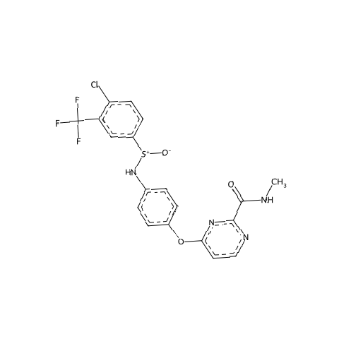 CNC(=O)c1nccc(Oc2ccc(N[S+]([O-])c3ccc(Cl)c(C(F)(F)F)c3)cc2)n1